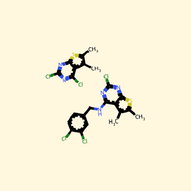 Cc1sc2nc(Cl)nc(Cl)c2c1C.Cc1sc2nc(Cl)nc(NCc3ccc(Cl)c(Cl)c3)c2c1C